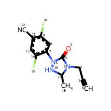 C#CCN1C(=O)N(c2cc(F)c(C#N)cc2F)NC1C